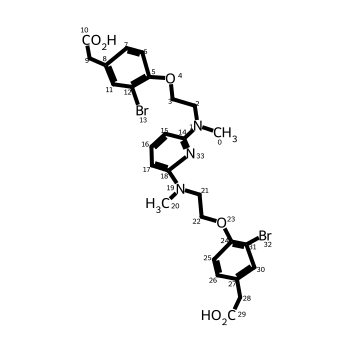 CN(CCOc1ccc(CC(=O)O)cc1Br)c1cccc(N(C)CCOc2ccc(CC(=O)O)cc2Br)n1